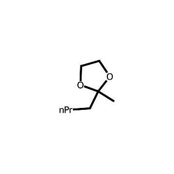 CCCCC1(C)OCCO1